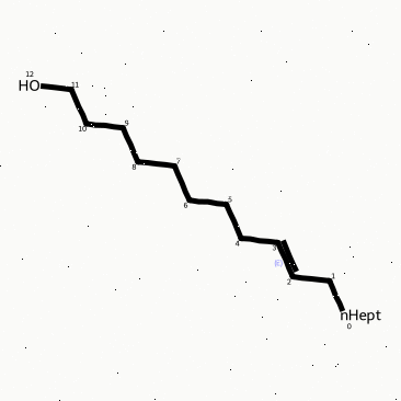 CCCCCCCC/C=C/CCCCCCCCO